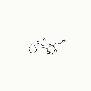 CC(=O)CCC(=O)OC(C)OC(=O)OC1CCCCC1